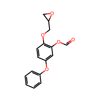 O=COc1cc(Oc2ccccc2)ccc1OCC1CO1